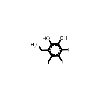 CCc1c(O)c(O)c(I)c(I)c1I